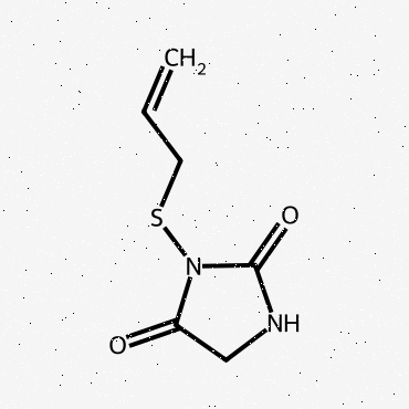 C=CCSN1C(=O)CNC1=O